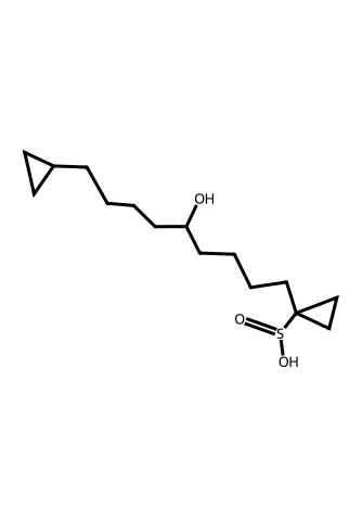 O=S(O)C1(CCCCC(O)CCCCC2CC2)CC1